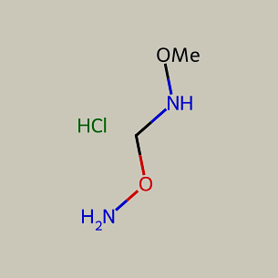 CONCON.Cl